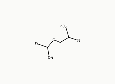 [CH2]CC(O)OCC(CC)CCCC